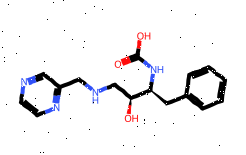 O=C(O)N[C@@H](Cc1ccccc1)[C@@H](O)CNCc1cnccn1